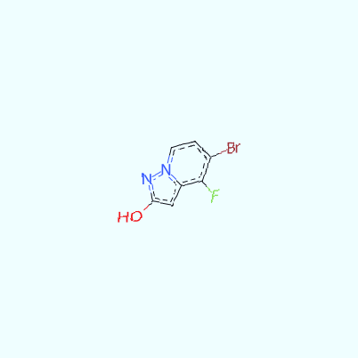 Oc1cc2c(F)c(Br)ccn2n1